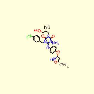 CC1=CC(Oc2ccc(/N=c3\n(N)c(=O)n(C[C@H](CO)N=O)c(=O)n3CC3C=CC(Cl)=CC3)cc2)NO1